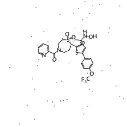 O=C(C[C@]1(c2ccc(-c3ccc(OC(F)(F)F)cc3)s2)CCN(C(=O)c2ccccn2)CCS1(=O)=O)NO